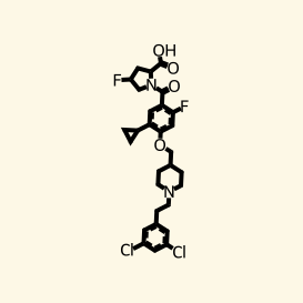 O=C(O)C1CC(F)CN1C(=O)c1cc(C2CC2)c(OCC2CCN(CCc3cc(Cl)cc(Cl)c3)CC2)cc1F